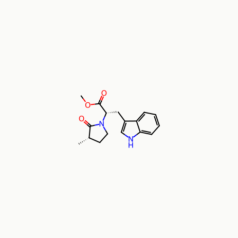 COC(=O)[C@H](Cc1c[nH]c2ccccc12)N1CC[C@H](C)C1=O